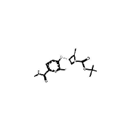 CNC(=O)c1ccc(O[C@H]2CN(C(=O)OC(C)(C)C)[C@@H]2C)c(F)n1